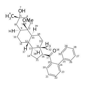 COC[C@]12CC[C@@](C)(O)C[C@@H]1CC[C@H]1[C@@H]3CC[C@H](C(=O)c4ccccc4-c4ccccc4)[C@@]3(C)CC[C@@H]12